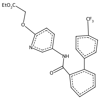 CCOC(=O)COc1ccc(NC(=O)c2ccccc2-c2ccc(C(F)(F)F)cc2)cn1